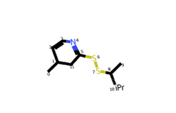 CC1C=CN=C(SSC(C)C(C)C)C1